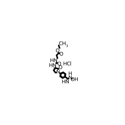 CCCOC(=O)CCNC(=O)N[C@H]1CCN(c2ccc(C(=N)NO)cc2)C1=O.Cl